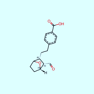 O=C[C@@H]1[C@@H]2CCC(O2)[C@@H]1CCc1ccc(C(=O)O)cc1